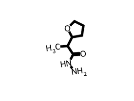 CC(C(=O)NN)C1CCCO1